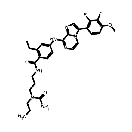 CCc1cc(Nc2nccn3c(-c4ccc(OC)c(F)c4F)cnc23)ccc1C(=O)NCCCN(CCN)C(N)=O